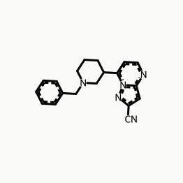 N#Cc1cc2nccc(C3CCCN(Cc4ccccc4)C3)n2n1